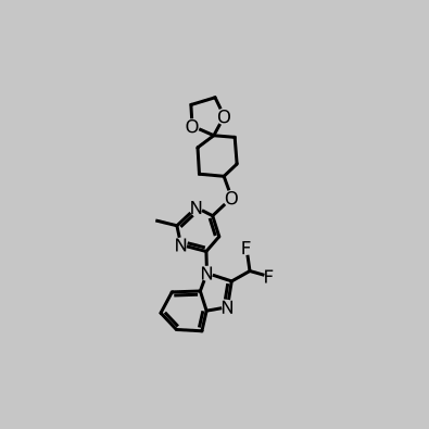 Cc1nc(OC2CCC3(CC2)OCCO3)cc(-n2c(C(F)F)nc3ccccc32)n1